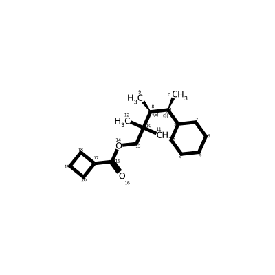 C[C@@H](C1CCCCC1)[C@H](C)C(C)(C)COC(=O)C1CCC1